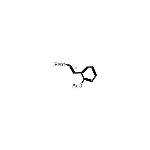 [CH2]C(/C=C/c1ccccc1OC(C)=O)CCC